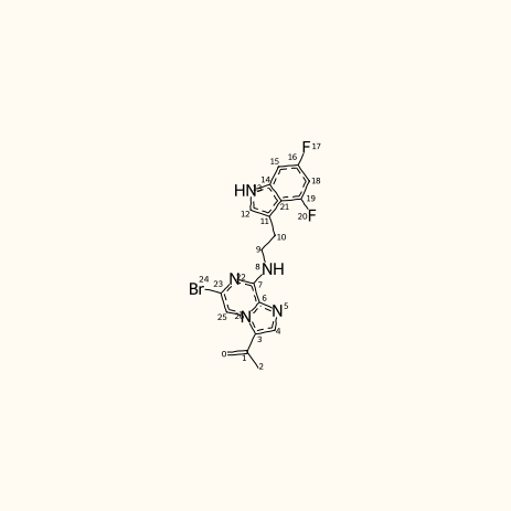 C=C(C)c1cnc2c(NCCc3c[nH]c4cc(F)cc(F)c34)nc(Br)cn12